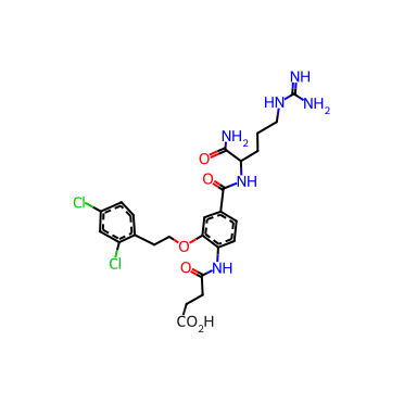 N=C(N)NCCCC(NC(=O)c1ccc(NC(=O)CCC(=O)O)c(OCCc2ccc(Cl)cc2Cl)c1)C(N)=O